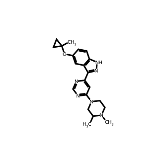 CC1CN(c2cc(-c3n[nH]c4ccc(OC5(C)CC5)cc34)ncn2)CCN1C